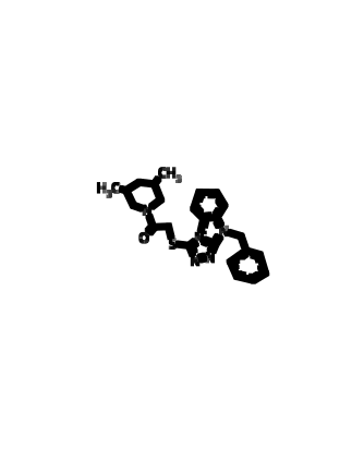 CC1CC(C)CN(C(=O)CSc2nnc3n(Cc4ccccc4)c4ccccc4n23)C1